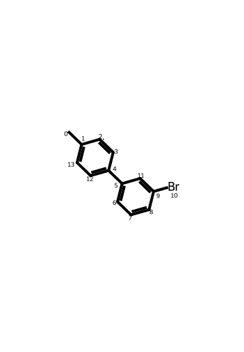 Cc1[c]cc(-c2cccc(Br)c2)cc1